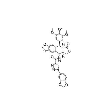 COc1cc([C@@H]2c3cc4c(cc3[C@@H](NC(=O)c3cn(-c5ccc6c(c5)OCO6)nn3)[C@H]3COC(=O)[C@H]23)OCO4)cc(OC)c1OC